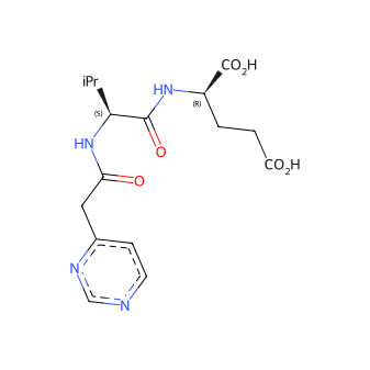 CC(C)[C@H](NC(=O)Cc1ccncn1)C(=O)N[C@H](CCC(=O)O)C(=O)O